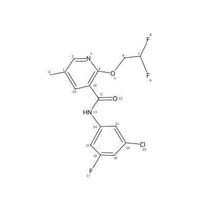 Cc1cnc(OCC(F)F)c(C(=O)Nc2cc(F)cc(Cl)c2)c1